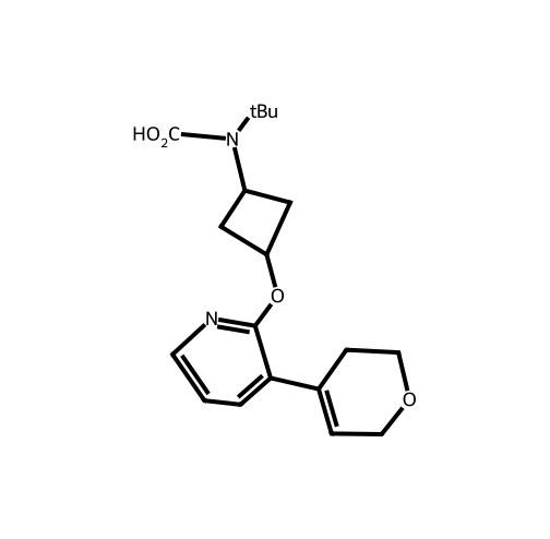 CC(C)(C)N(C(=O)O)C1CC(Oc2ncccc2C2=CCOCC2)C1